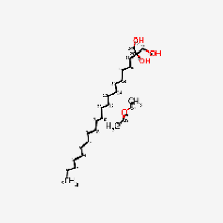 CCCCCCCCCCCCCCCCCCCCC(O)(CO)CO.CCOCC